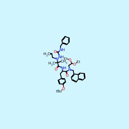 C=CCN(NC(=O)NCc1ccccc1)C(C)(C)C(=O)NC(Cc1ccc(OC(C)(C)C)cc1)C(=O)N(Cc1cccc2ccccc12)CC(OCC)OCC